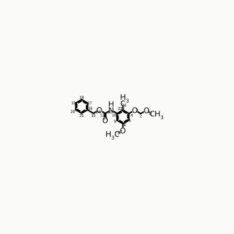 COCOc1cc(OC)cc(NC(=O)OCc2ccccc2)c1C